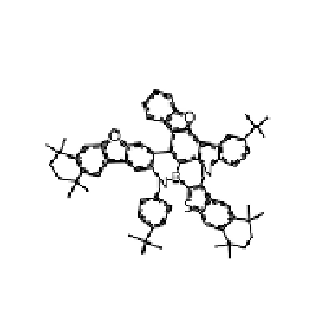 CC(C)(C)c1ccc(N2B3c4sc5cc6c(cc5c4-n4c5ccc(C(C)(C)C)cc5c5c7oc8ccccc8c7c(c3c54)-c3cc4oc5cc7c(cc5c4cc32)C(C)(C)CCC7(C)C)C(C)(C)CCC6(C)C)cc1